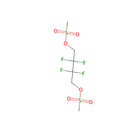 CS(=O)(=O)OCC(F)(F)C(F)(F)COS(C)(=O)=O